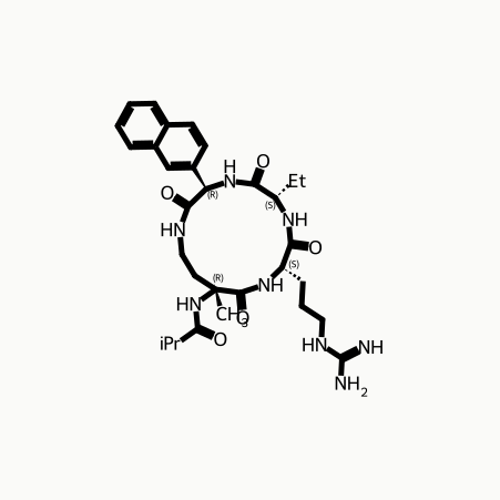 CC[C@@H]1NC(=O)[C@H](CCCNC(=N)N)NC(=O)[C@](C)(NC(=O)C(C)C)CCNC(=O)[C@@H](c2ccc3ccccc3c2)NC1=O